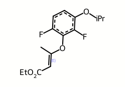 CCOC(=O)/C=C(\C)Oc1c(F)ccc(OC(C)C)c1F